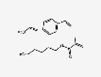 C=C(C)C(=O)OCCCCCCCCCCCCCC.C=COC(C)=O.C=Cc1ccccc1